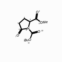 COC(=O)C1CCC(=O)N1C(=O)OCC(C)C